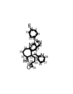 Fc1ccc(-n2ncc3cc4c(nc32)CCC[C@H]2C[C@]3(CC[C@@]42Cc2ccccn2)CO3)cc1